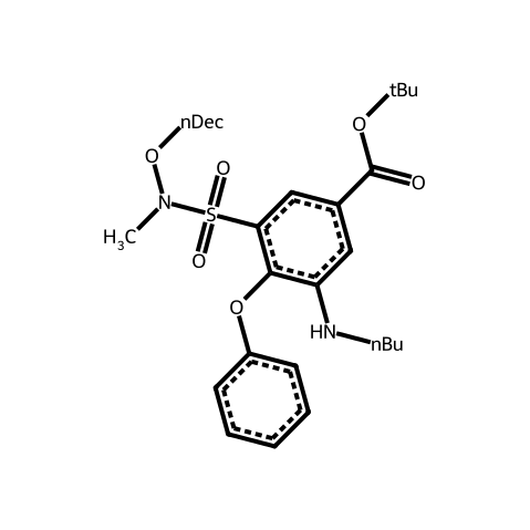 CCCCCCCCCCON(C)S(=O)(=O)c1cc(C(=O)OC(C)(C)C)cc(NCCCC)c1Oc1ccccc1